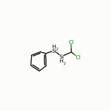 ClC(Cl)[SiH2][SiH2]c1ccccc1